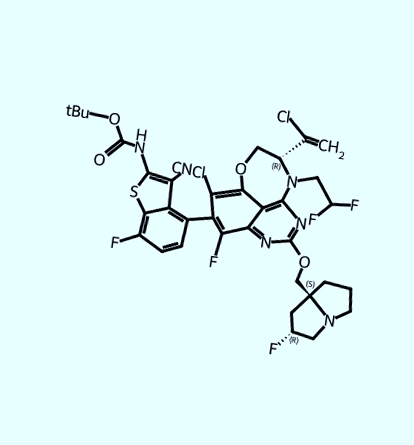 C=C(Cl)[C@H]1COc2c(Cl)c(-c3ccc(F)c4sc(NC(=O)OC(C)(C)C)c(C#N)c34)c(F)c3nc(OC[C@@]45CCCN4C[C@H](F)C5)nc(c23)N1CC(F)F